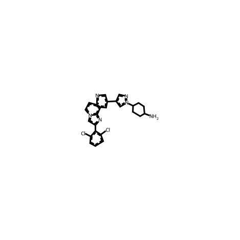 NC1CCC(n2cc(-c3cnc4ccn5cc(-c6c(Cl)cccc6Cl)nc5c4c3)cn2)CC1